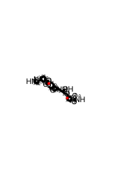 CNS(=O)(=O)c1cccc(OCC(O)CNC2COC3(CCN(S(=O)(=O)c4cccc(-c5cc[nH]n5)c4)CC3)C2)c1